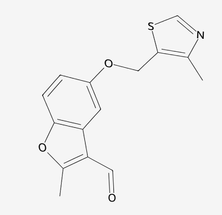 Cc1ncsc1COc1ccc2oc(C)c(C=O)c2c1